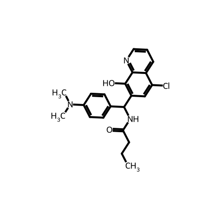 CCCC(=O)NC(c1ccc(N(C)C)cc1)c1cc(Cl)c2cccnc2c1O